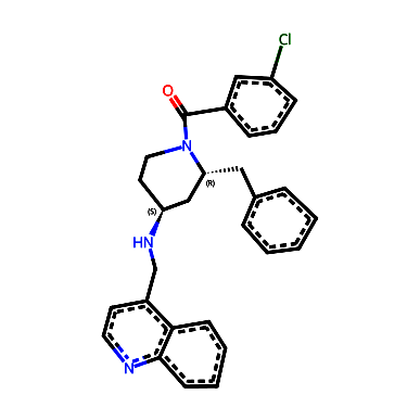 O=C(c1cccc(Cl)c1)N1CC[C@H](NCc2ccnc3ccccc23)C[C@H]1Cc1ccccc1